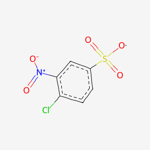 [O]S(=O)(=O)c1ccc(Cl)c([N+](=O)[O-])c1